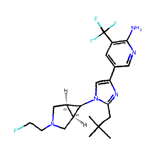 CC(C)(C)Cc1nc(-c2cnc(N)c(C(F)(F)F)c2)cn1C1[C@H]2CN(CCF)C[C@@H]12